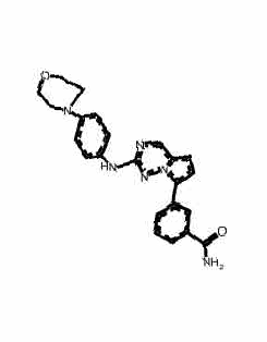 NC(=O)c1cccc(-c2ccc3cnc(Nc4ccc(N5CCOCC5)cc4)nn23)c1